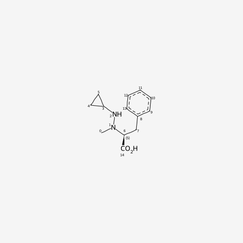 CN(NC1CC1)[C@@H](Cc1ccccc1)C(=O)O